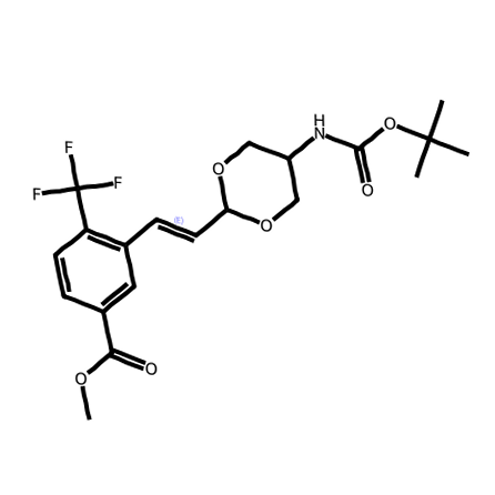 COC(=O)c1ccc(C(F)(F)F)c(/C=C/C2OCC(NC(=O)OC(C)(C)C)CO2)c1